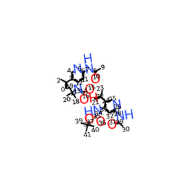 C=C(C)c1cnc(NC(C)=O)cc1N(C(=O)O)C(C)(C)C.C=C(C)c1cnc(NC(C)=O)cc1NC(=O)OC(C)(C)C